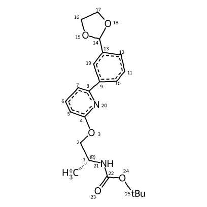 C[C@H](COc1cccc(-c2cccc(C3OCCO3)c2)n1)NC(=O)OC(C)(C)C